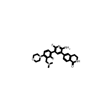 CN(C)Cc1c(N2CCOCC2)ccc(-c2cc(-c3ccc4c(c3)CCNC4=O)c(N)nc2F)c1F